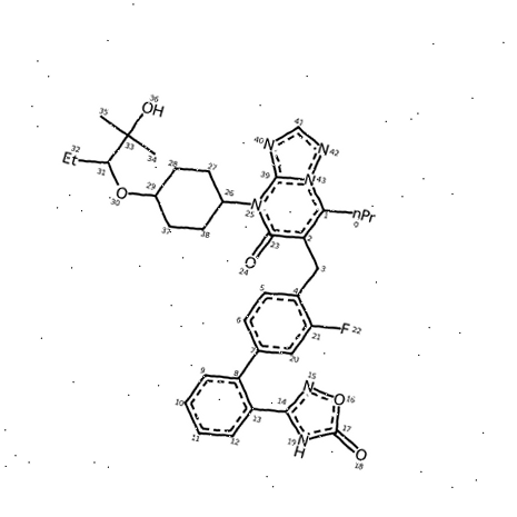 CCCc1c(Cc2ccc(-c3ccccc3-c3noc(=O)[nH]3)cc2F)c(=O)n(C2CCC(OC(CC)C(C)(C)O)CC2)c2ncnn12